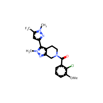 COc1cccc(C(=O)N2CCc3c(nn(C)c3-c3cc(C(F)(F)F)n(C)n3)C2)c1Cl